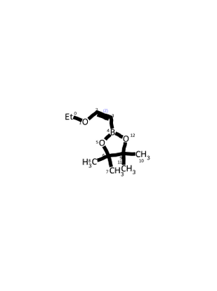 CCO/C=C\B1OC(C)(C)C(C)(C)O1